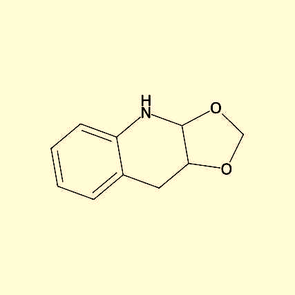 c1ccc2c(c1)CC1OCOC1N2